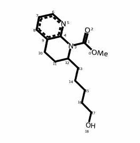 COC(=O)N1c2ncccc2CCC1CCCCCO